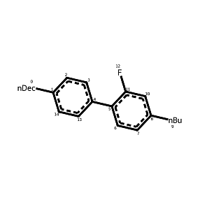 CCCCCCCCCCc1ccc(-c2ccc(CCCC)cc2F)cc1